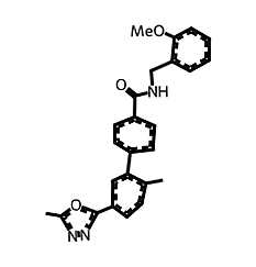 COc1ccccc1CNC(=O)c1ccc(-c2cc(-c3nnc(C)o3)ccc2C)cc1